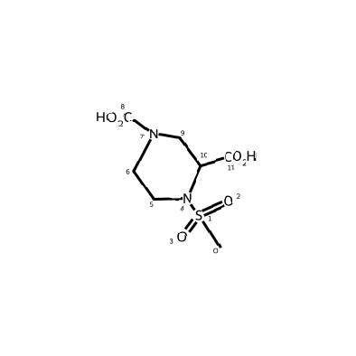 CS(=O)(=O)N1CCN(C(=O)O)CC1C(=O)O